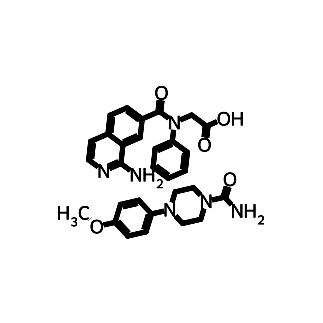 COc1ccc(N2CCN(C(N)=O)CC2)cc1.Nc1nccc2ccc(C(=O)N(CC(=O)O)c3ccccc3)cc12